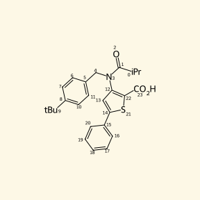 CC(C)C(=O)N(Cc1ccc(C(C)(C)C)cc1)c1cc(-c2ccccc2)sc1C(=O)O